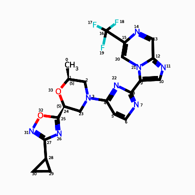 C[C@H]1CN(c2ccnc(-c3cnc4cnc(C(F)(F)F)cn34)n2)C[C@@H](c2nc(C3CC3)no2)O1